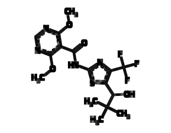 COc1ncnc(OC)c1C(=O)Nc1nc(C(F)(F)F)c(C(O)C(C)(C)C)s1